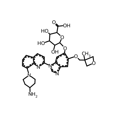 CC1(COc2cc3ncn(-c4ccc5cccc(N6CCC(N)CC6)c5n4)c3cc2OC2OC(C(=O)O)C(O)C(O)C2O)COC1